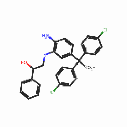 Nc1ccc(C(C(=O)O)(c2ccc(Cl)cc2)c2ccc(Cl)cc2)cc1NCC(O)c1ccccc1